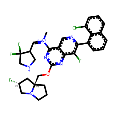 C/[N+](=C/C1CNCC1(F)F)c1nc(OC[C@@]23CCCN2C[C@H](F)C3)nc2c(F)c(-c3cccc4cccc(Cl)c34)ncc12